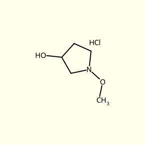 CON1CCC(O)C1.Cl